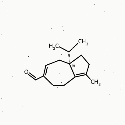 CC1=C2CCC(C=O)=CC[C@@]2(C(C)C)CC1